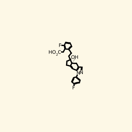 C[C@]12Cc3cnn(-c4ccc(F)cc4)c3C=C1CC[C@@]2(O)CCc1cccc(F)c1CC(=O)O